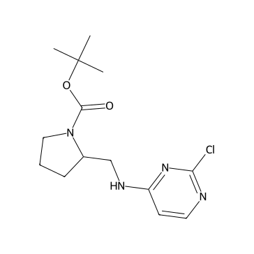 CC(C)(C)OC(=O)N1CCCC1CNc1ccnc(Cl)n1